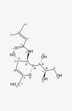 CC(C)=CC(=O)N[C@H]1[C@H]([C@H](O)[C@H](O)CO)OC(C(=O)O)=C[C@@H]1O